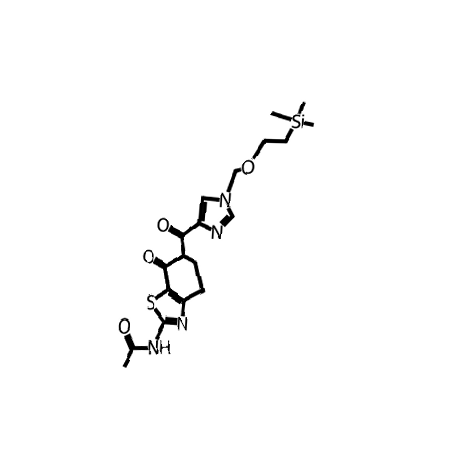 CC(=O)Nc1nc2c(s1)C(=O)C(C(=O)c1cn(COCC[Si](C)(C)C)cn1)CC2